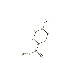 CCCC(C)C(=O)C1CCC(C(F)(F)F)CC1